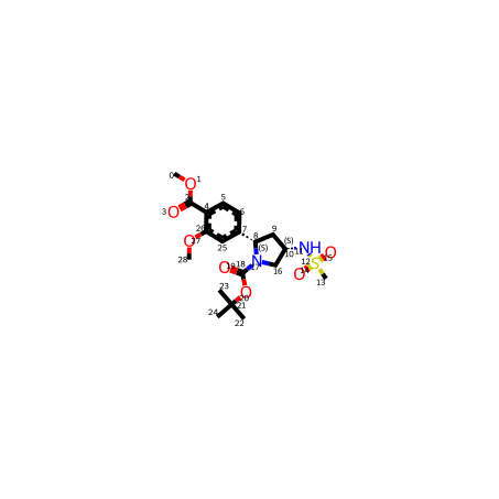 COC(=O)c1ccc([C@@H]2C[C@H](NS(C)(=O)=O)CN2C(=O)OC(C)(C)C)cc1OC